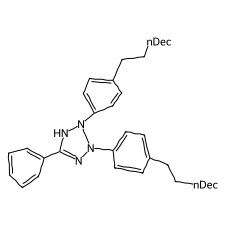 CCCCCCCCCCCCc1ccc(N2N=C(c3ccccc3)NN2c2ccc(CCCCCCCCCCCC)cc2)cc1